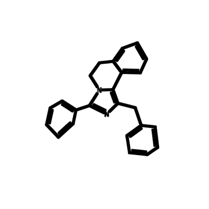 c1ccc(Cc2nc(-c3ccccc3)n3c2-c2ccccc2CC3)cc1